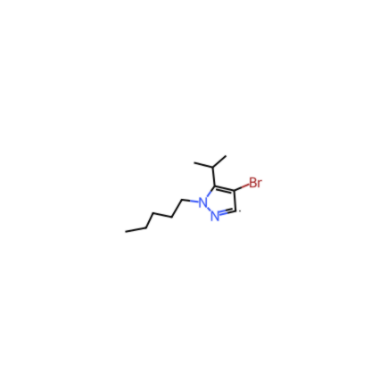 CCCCCn1n[c]c(Br)c1C(C)C